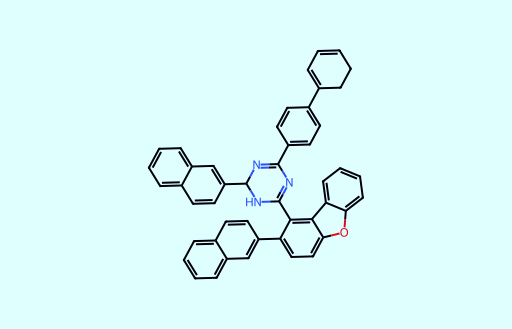 C1=CCCC(c2ccc(C3=NC(c4ccc5ccccc5c4)NC(c4c(-c5ccc6ccccc6c5)ccc5oc6ccccc6c45)=N3)cc2)=C1